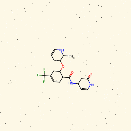 CC1NC=CCC1OC1CC(C(F)(F)F)=CCC1C(=O)NC1C=CNC(=O)C1